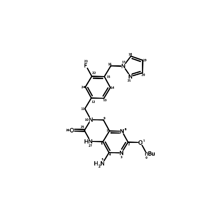 CCCCOc1nc(N)c2c(n1)CN(Cc1ccc(Cn3cccn3)c(F)c1)C(=O)N2